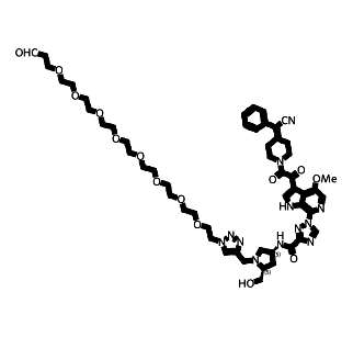 COc1cnc(-n2cnc(C(=O)N[C@H]3C[C@@H](CO)N(Cc4cn(CCOCCOCCOCCOCCOCCOCCOCCOCCC=O)nn4)C3)n2)c2[nH]cc(C(=O)C(=O)N3CCC(=C(C#N)c4ccccc4)CC3)c12